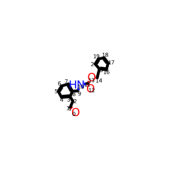 O=[C]Cc1ccccc1CNC(=O)OCc1ccccc1